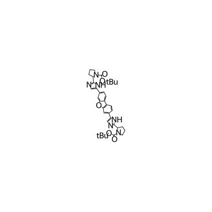 CC(C)(C)OC(=O)N1CCCC1c1ncc(-c2ccc3c(c2)oc2cc(-c4cnc(C5CCCN5C(=O)OC(C)(C)C)[nH]4)ccc23)[nH]1